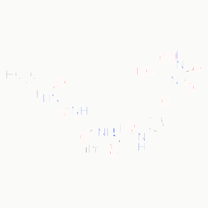 CC(C)C(NC(=O)CCNC(=O)CNC(=O)C(I)CC(=O)O)C(=O)NCC(=O)Nc1ccc(COCC2CC(O)C(O)C3NC(=O)C(=O)N23)cc1